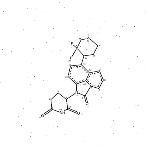 O=C1CCC(N2C(=O)c3cccc4c(C5CCNCC5(F)F)ccc2c34)C(=O)N1